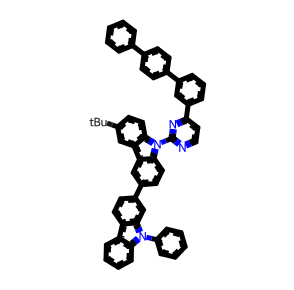 CC(C)(C)c1ccc2c(c1)c1cc(-c3ccc4c5ccccc5n(-c5ccccc5)c4c3)ccc1n2-c1nccc(-c2cccc(-c3ccc(-c4ccccc4)cc3)c2)n1